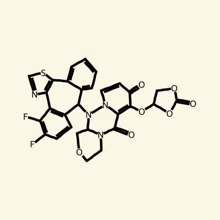 O=C1OCC(Oc2c3n(ccc2=O)N(C2c4ccccc4-c4scnc4-c4c2ccc(F)c4F)C2COCCN2C3=O)O1